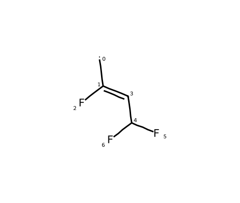 [CH2]/C(F)=C/C(F)F